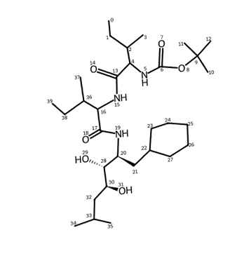 CCC(C)C(NC(=O)OC(C)(C)C)C(=O)NC(C(=O)N[C@@H](CC1CCCCC1)[C@@H](O)[C@@H](O)CC(C)C)C(C)CC